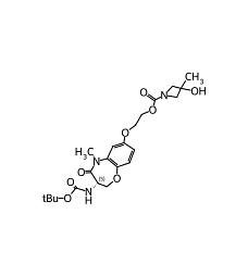 CN1C(=O)[C@@H](NC(=O)OC(C)(C)C)COc2ccc(OCCOC(=O)N3CC(C)(O)C3)cc21